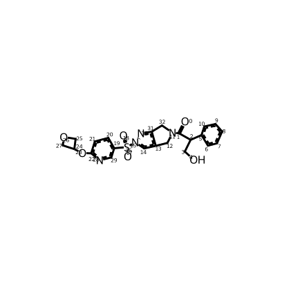 O=C(C(CO)c1ccccc1)N1Cc2cn(S(=O)(=O)c3ccc(OC4COC4)nc3)nc2C1